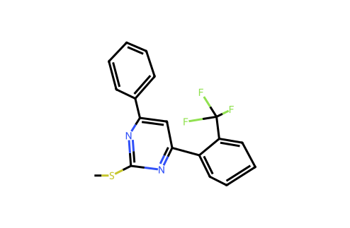 CSc1nc(-c2ccccc2)cc(-c2ccccc2C(F)(F)F)n1